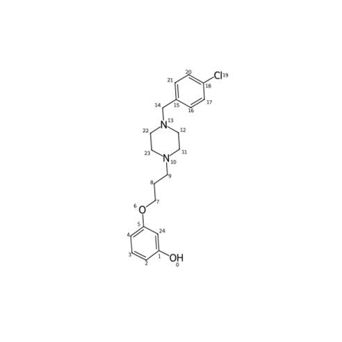 Oc1cccc(OCCCN2CCN(Cc3ccc(Cl)cc3)CC2)c1